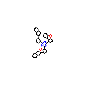 c1cc(-c2ccc3ccccc3c2)cc(-c2nc(-c3cccc4c3oc3cc5ccccc5cc34)nc(-c3cccc4oc5ccccc5c34)n2)c1